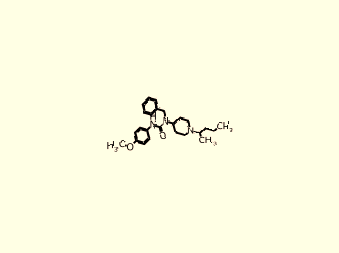 CCCC(C)N1CCC(N(Cc2ccccc2)C(=O)Nc2ccc(OC)cc2)CC1